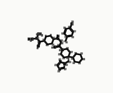 CN(C)C(=O)C1CCC(N[C@H](Cc2ccc(Cl)cc2)C(=O)N2CCC(Cn3cncn3)(C3CCCCC3)CC2)CC1